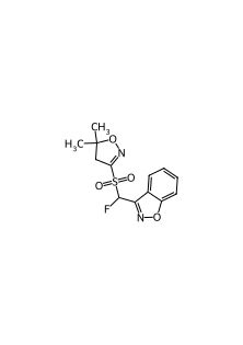 CC1(C)CC(S(=O)(=O)C(F)c2noc3ccccc23)=NO1